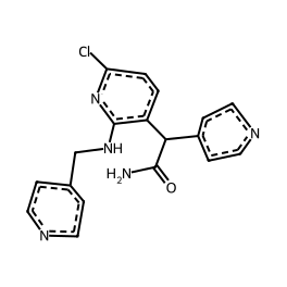 NC(=O)C(c1ccncc1)c1ccc(Cl)nc1NCc1ccncc1